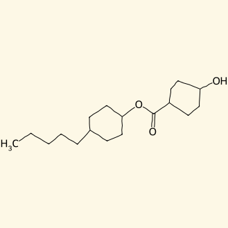 CCCCCC1CCC(OC(=O)C2CCC(O)CC2)CC1